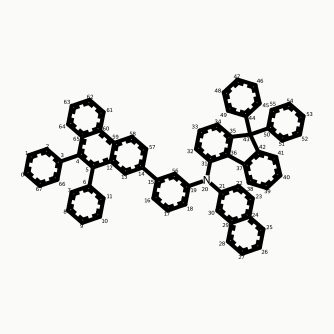 c1ccc(-c2c(-c3ccccc3)c3cc(-c4cccc(N(c5ccc6ccccc6c5)c5cccc6c5-c5ccccc5C6(c5ccccc5)c5ccccc5)c4)ccc3c3ccccc23)cc1